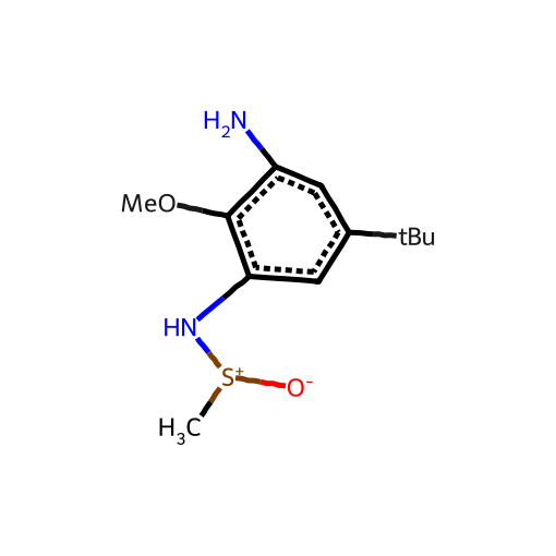 COc1c(N)cc(C(C)(C)C)cc1N[S+](C)[O-]